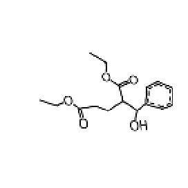 CCOC(=O)CCC(C(=O)OCC)C(O)c1ccccc1